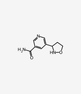 NC(=O)c1cncc(C2CCON2)c1